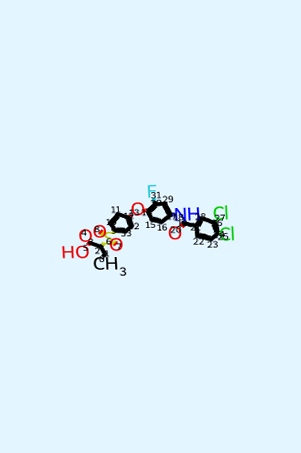 CCC(C(=O)O)S(=O)(=O)c1ccc(Oc2ccc(NC(=O)c3ccc(Cl)c(Cl)c3)cc2F)cc1